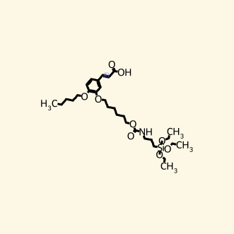 CCCCCOc1ccc(/C=C/C(=O)O)cc1OCCCCCCOC(=O)NCCC[Si](OCC)(OCC)OCC